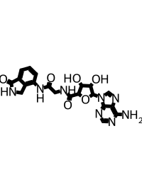 Nc1ncnc2c1ncn2C1OC(C(=O)NCC(=O)Nc2cccc3c2CNC3=O)C(O)C1O